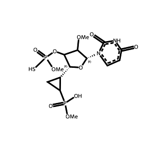 COC1C(OP(=O)(S)OC)[C@@H](C2CC2P(=O)(O)OC)O[C@H]1n1ccc(=O)[nH]c1=O